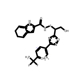 C=C(/C=C\C(=C/C)c1noc(C(CO)SNC(=O)c2cc3c([nH]2)=CCCC=3)n1)C(F)(F)P